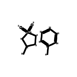 CC1CCS(=O)(=O)C1.Cc1ccccc1